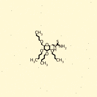 CCCCOC[C@H]1O[C@H](CNC(N)=S)[C@@H](OCCCC)[C@@H](OCCCC)[C@@H]1OCCCC